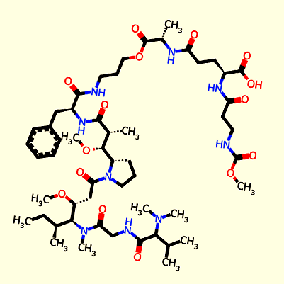 CC[C@H](C)[C@@H]([C@@H](CC(=O)N1CCC[C@H]1[C@H](OC)[C@@H](C)C(=O)N[C@@H](Cc1ccccc1)C(=O)NCCCOC(=O)[C@H](C)NC(=O)CC[C@H](NC(=O)CCNC(=O)OC)C(=O)O)OC)N(C)C(=O)CNC(=O)C(C(C)C)N(C)C